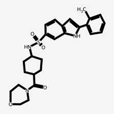 Cc1ccccc1-c1cc2ccc(S(=O)(=O)NC3CCC(C(=O)N4CCOCC4)CC3)cc2[nH]1